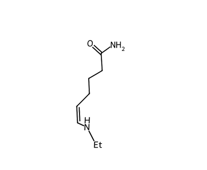 CCN/C=C\CCCC(N)=O